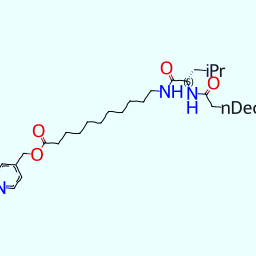 CCCCCCCCCCCC(=O)N[C@@H](CC(C)C)C(=O)NCCCCCCCCCCC(=O)OCc1ccncc1